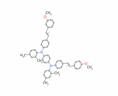 COc1ccc(/C=C/c2ccc(N(c3ccc(N(c4ccc(/C=C/c5cccc(OC)c5)cc4)c4ccc(C)cc4C)cc3)c3ccc(C)cc3C)cc2)cc1